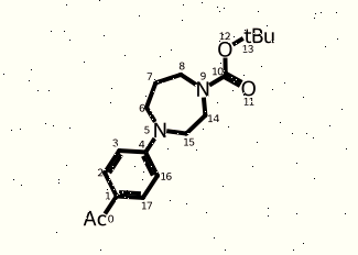 CC(=O)c1ccc(N2CCCN(C(=O)OC(C)(C)C)CC2)cc1